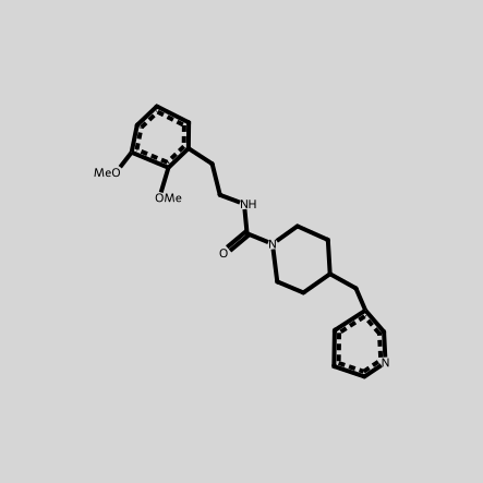 COc1cccc(CCNC(=O)N2CCC(Cc3cccnc3)CC2)c1OC